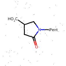 CCCC(C)N1CC(C(=O)O)CC1=O